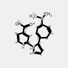 CN(C)C1=CC=C(c2ccnn2-c2cc(C(=O)N=O)ccn2)CC#C1